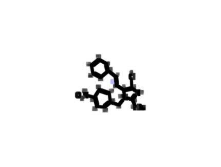 CCCCc1nc(Cl)c(/C=C/c2ccccc2)n1Cc1ccc([N+](=O)[O-])cc1